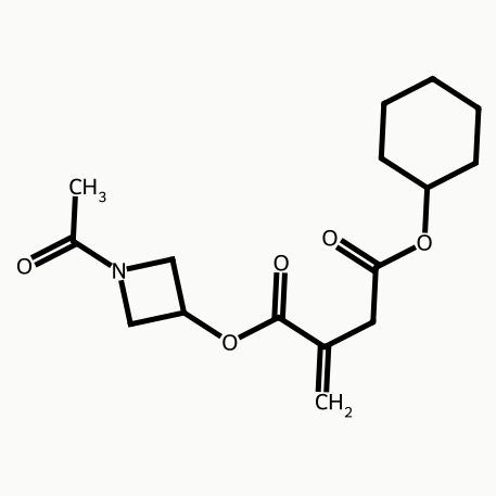 C=C(CC(=O)OC1CCCCC1)C(=O)OC1CN(C(C)=O)C1